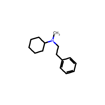 CN(CCc1ccccc1)C1CCCCC1